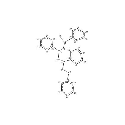 CC(CC(CC(CCc1ccccc1)c1ccccc1)c1ccccc1)c1ccccc1